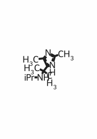 Cc1nc(C)c(C(C)(C)NC(C)C)[nH]1